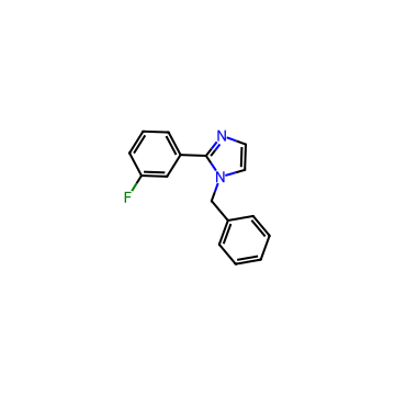 Fc1cccc(-c2nccn2Cc2ccccc2)c1